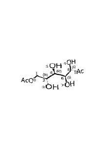 CC(=O)OC[C@@H](O)[C@@H](O)[C@H](O)[C@H](O)C(C)=O